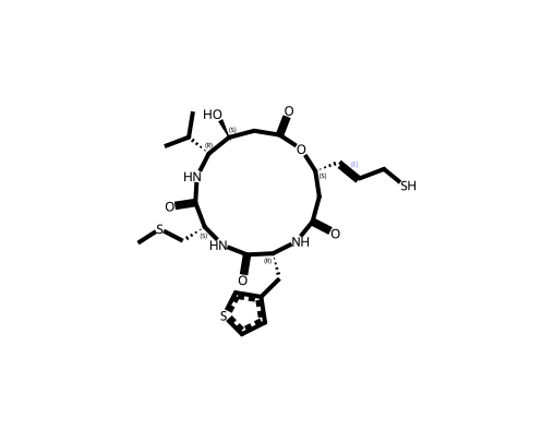 CSC[C@H]1NC(=O)[C@@H](Cc2ccsc2)NC(=O)C[C@@H](/C=C/CS)OC(=O)C[C@H](O)[C@@H](C(C)C)NC1=O